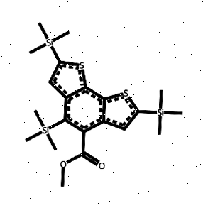 COC(=O)c1c([Si](C)(C)C)c2cc([Si](C)(C)C)sc2c2sc([Si](C)(C)C)cc12